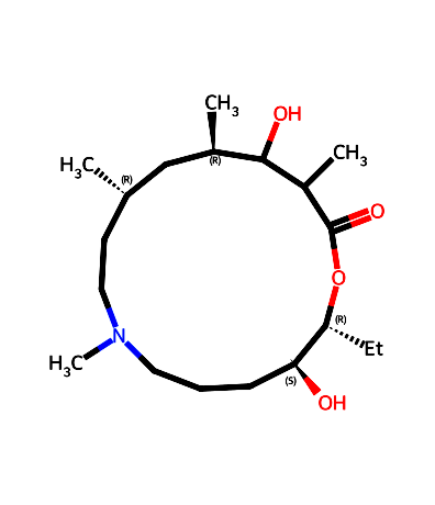 CC[C@H]1OC(=O)C(C)C(O)[C@H](C)C[C@@H](C)CCN(C)CCC[C@@H]1O